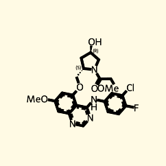 COCC(=O)N1C[C@H](O)C[C@H]1COc1cc(OC)cc2ncnc(Nc3ccc(F)c(Cl)c3)c12